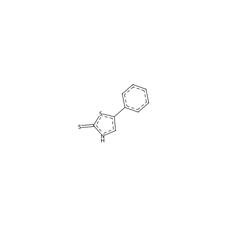 S=c1[nH]cc(-c2ccccc2)s1